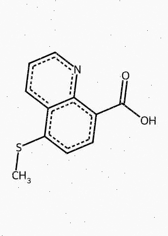 CSc1ccc(C(=O)O)c2ncccc12